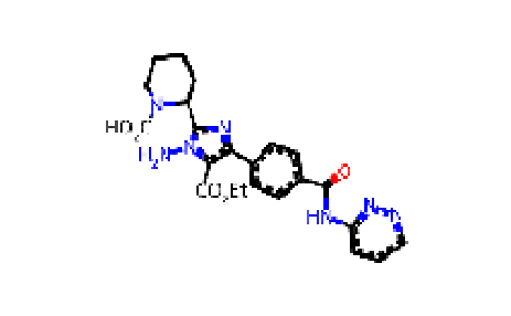 CCOC(=O)c1c(-c2ccc(C(=O)Nc3cccnn3)cc2)nc([C@@H]2CCCCN2C(=O)O)n1N